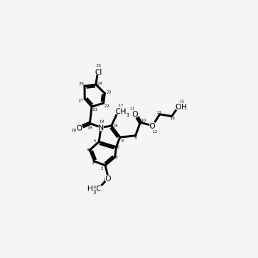 COc1ccc2c(c1)c(CC(=O)OCCO)c(C)n2C(=O)c1ccc(Cl)cc1